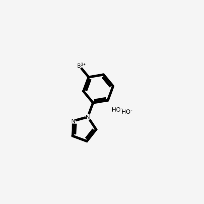 [B+2]c1cccc(-n2cccn2)c1.[OH-].[OH-]